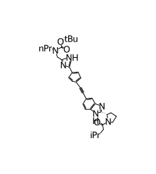 CCCN(Cc1nc(-c2ccc(C#Cc3ccc4[nH]c([C@@H]5CCCN5C(=O)CC(C)C)nc4c3)cc2)c[nH]1)C(=O)OC(C)(C)C